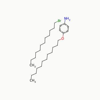 CCCCCCCCCCCCBr.CCCCCCCCCCCCOc1ccc(N)cc1